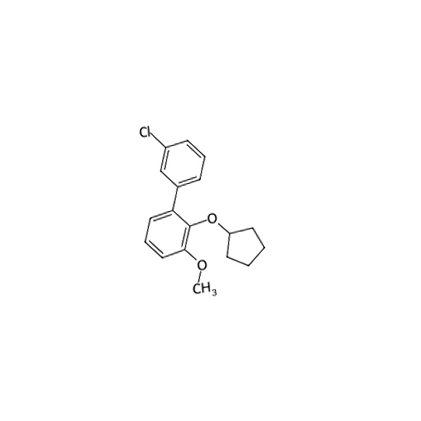 COc1cccc(-c2cccc(Cl)c2)c1OC1CCCC1